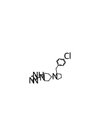 Clc1ccc(CC2CCCN2C2CCN(c3nnc[nH]3)CC2)cc1